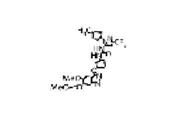 COCCOc1cc2ncnc(Oc3cccc(NC(=O)Nc4cc(C(F)(F)F)nn4-c4ccc(C)cc4)c3)c2cc1OC